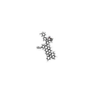 Cc1cccc(-c2ccc3c(c2)C2(c4ccc(N(c5ccc(C(C)(C)C)cc5)c5ccc6ccc7c(N(c8ccccc8)c8cccc9ccccc89)ccc8ccc5c6c87)cc4-3)C3CC4CC(C3)CC2C4)c1